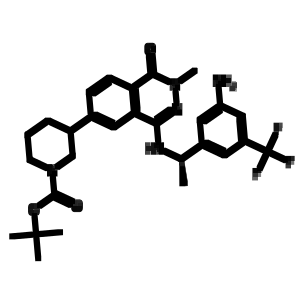 C[C@@H](Nc1nn(C)c(=O)c2ccc(C3CCCN(C(=O)OC(C)(C)C)C3)cc12)c1cc(N)cc(C(F)(F)F)c1